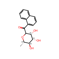 C[C@@H]1O[C](C(=O)c2cccc3ccccc23)[C@H](O)[C@H](O)[C@H]1O